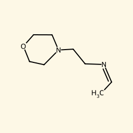 C/C=N\CCN1CCOCC1